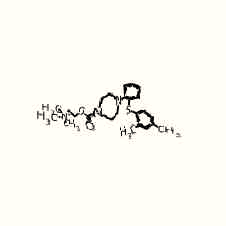 Cc1ccc(Sc2ccccc2N2CCN(C(=O)OCC[N+](C)(C)C)CC2)c(C)c1